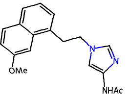 COc1ccc2cccc(CCn3cnc(NC(C)=O)c3)c2c1